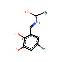 CC(C)C(O)/N=C/c1cc(Cl)cc(O)c1O